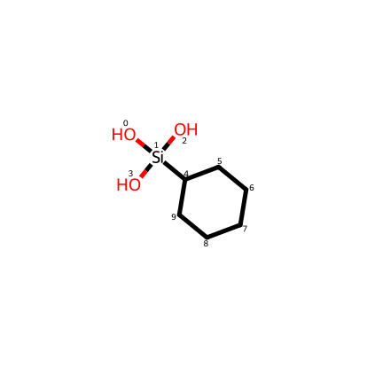 O[Si](O)(O)C1CCCCC1